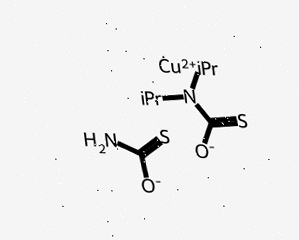 CC(C)N(C([O-])=S)C(C)C.NC([O-])=S.[Cu+2]